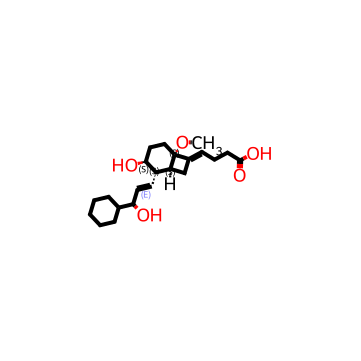 CO[C@@]12CC[C@H](O)[C@@H](/C=C/C(O)C3CCCCC3)[C@@H]1CC2=CCCC(=O)O